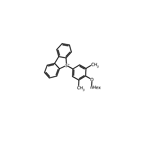 CCCCCCOc1c(C)cc(-[s+]2c3ccccc3c3ccccc32)cc1C